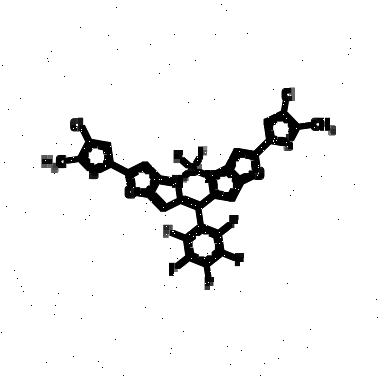 Cc1sc(-c2cc3c(o2)=CC2=C(c4c(F)c(F)c(F)c(F)c4F)c4cc5oc(-c6cc(Cl)c(C)s6)cc5n4[B-](F)(F)[N+]=32)cc1Cl